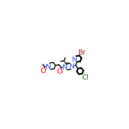 CC(=O)N1CCC(CC(=O)N2CCN(C(c3ccc(Cl)cc3)c3ccc(Br)cn3)C[C@@H]2C(C)C)CC1